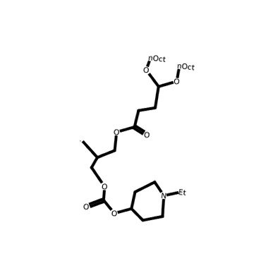 [CH2]C(COC(=O)CCC(OCCCCCCCC)OCCCCCCCC)COC(=O)OC1CCN(CC)CC1